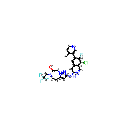 Cc1ccncc1-c1cc2cc(Nc3cc4n(n3)CC(=O)N(CC(F)(F)F)CC4)ncc2c(Cl)c1F